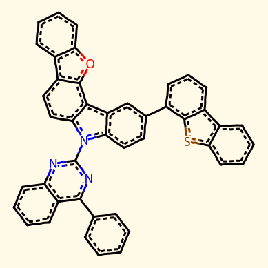 c1ccc(-c2nc(-n3c4ccc(-c5cccc6c5sc5ccccc56)cc4c4c5oc6ccccc6c5ccc43)nc3ccccc23)cc1